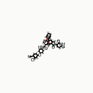 N#Cc1ccc(OC2CCC(NC(=O)c3ccc(N4CC5CCC(C4)N5Cc4cc(F)c5c(c4)CN(C4CCC(=O)NC4=O)C5=O)nn3)CC2)cc1Cl